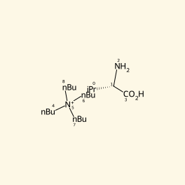 CC(C)[C@H](N)C(=O)O.CCCC[N+](CCCC)(CCCC)CCCC